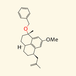 C=C(C)C[C@H]1CC[C@H]2CC[C@](C)(OCc3ccccc3)c3cc(OC)cc1c32